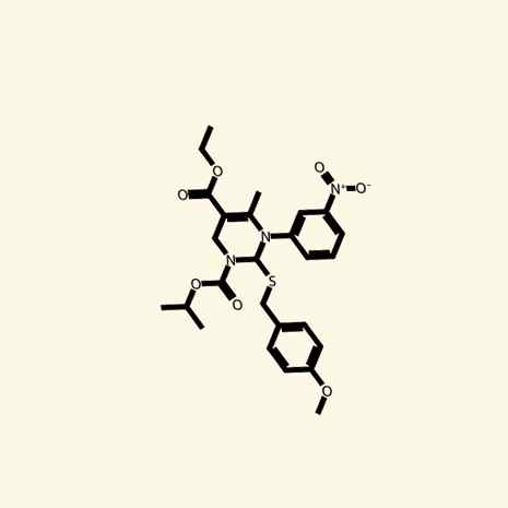 CCOC(=O)C1=C(C)N(c2cccc([N+](=O)[O-])c2)C(SCc2ccc(OC)cc2)N(C(=O)OC(C)C)C1